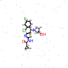 O=C(Nc1ncc(C(c2ccc(F)cc2Cl)N2CC[C@@H](O)C2)s1)C1CC1